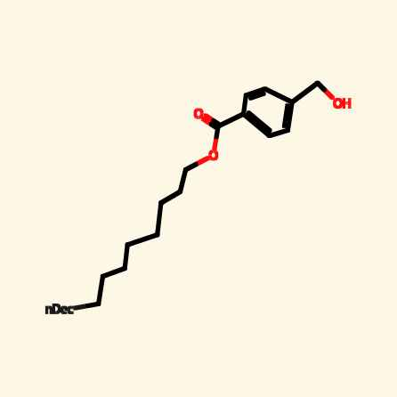 CCCCCCCCCCCCCCCCCCOC(=O)c1ccc(CO)cc1